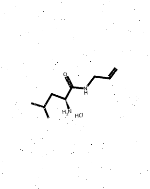 C=CCNC(=O)[C@@H](N)CC(C)C.Cl